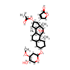 CO[C@H]1CC(O[C@H]2CC[C@@]3(C)C(CC[C@@H]4C3CC[C@]3(C)[C@@H](C5=CC(=O)OC5)[C@@H](OC(C)=O)C[C@]43O)C2)OC[C@@H]1O